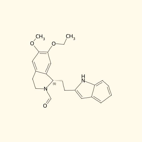 CCOc1cc2c(cc1OC)CCN(C=O)[C@H]2CCc1cc2ccccc2[nH]1